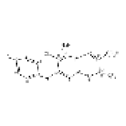 Cc1ccc(Cc2cc3c(cc2Cl)C=C(C(=O)O)[C@H](C(F)(F)F)O3)cc1.[NaH]